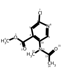 COC(=O)c1cc(Cl)ncc1N(C)C(C)=O